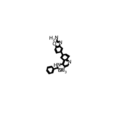 CC(Nc1c(C#N)cnc2ccc(-c3ccc4oc(N)nc4c3)cc12)c1ccccc1